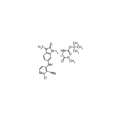 COC(=O)[C@H](CCn1c(=O)n(C)c2ccc(Nc3ccnc(Cl)c3C#N)cc21)NC(=O)OC(C)(C)C